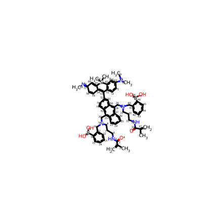 C=C(C)C(=O)NCCCN(Cc1ccccc1B(O)O)Cc1c2ccccc2c(CN(CCCNC(=O)C(=C)C)Cc2ccccc2B(O)O)c2cc(C3=C4C=C/C(=N\C)C=C4[Si](C)(C)c4cc(N(C)C)ccc43)ccc12